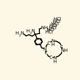 Cl.Cl.Cl.Cl.Cl.Cl.Cl.NCCCC(N)(CCN)c1ccc(CN2CCCNCCNCCCNCC2)cc1